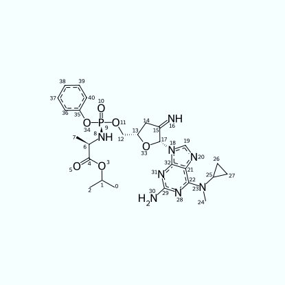 CC(C)OC(=O)[C@@H](C)N[P@@](=O)(OC[C@@H]1CC(=N)[C@H](n2cnc3c(N(C)C4CC4)nc(N)nc32)O1)Oc1ccccc1